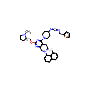 Cc1cccc2cccc(N3CCc4c(nc(OC[C@@H]5CCCN5C)nc4N4CCC(N=C=NCc5cccs5)CC4)C3)c12